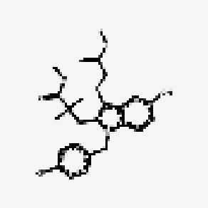 COC(=O)CSc1c(CC(C)(C)C(=O)OC)n(Cc2ccc(Cl)cc2)c2ccc(O)cc12